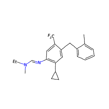 CCN(C)C=Nc1cc(C(F)(F)F)c(Cc2ccccc2C)cc1C1CC1